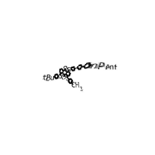 CCCCCC1CCC(c2ccc(-c3ccc(Sc4ccc(Sc5ccc(C)cc5)c5c4C(=O)c4cccc(Sc6ccc(C(C)(C)C)cc6)c4C5=O)cc3)cc2)CC1